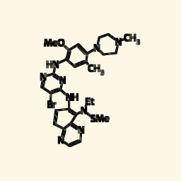 CCN(SC)c1c(Nc2nc(Nc3cc(C)c(N4CCN(C)CC4)cc3OC)ncc2Br)ccc2nccnc12